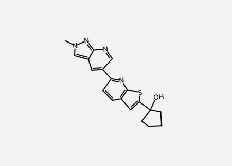 Cn1cc2cc(-c3ccc4cc(C5(O)CCCC5)sc4n3)cnc2n1